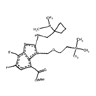 COC(=O)c1cc(F)c(F)c2nc(NCC3(N(C)C)CCC3)n(COCC[Si](C)(C)C)c12